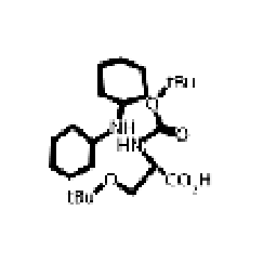 C1CCC(NC2CCCCC2)CC1.CC(C)(C)OC[C@@H](NC(=O)OC(C)(C)C)C(=O)O